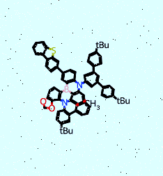 Cc1cc2c3c(c1)N(c1ccc(C(C)(C)C)cc1-c1ccccc1)c1c(ccc4c1OCO4)B3c1cc(-c3ccc4c(c3)sc3ccccc34)ccc1N2c1cc(-c2ccc(C(C)(C)C)cc2)cc(-c2ccc(C(C)(C)C)cc2)c1